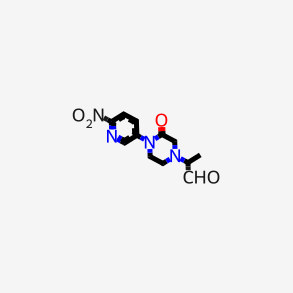 CC(C=O)N1CCN(c2ccc([N+](=O)[O-])nc2)C(=O)C1